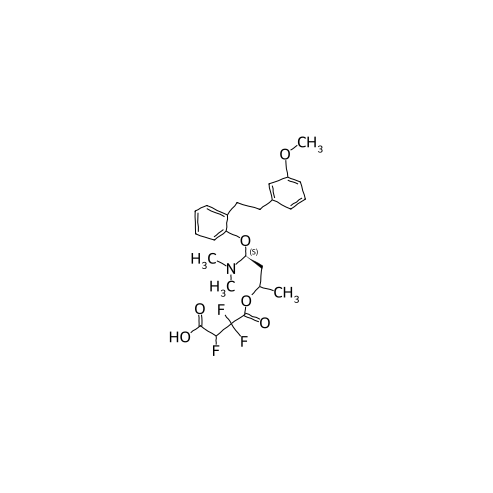 COc1cccc(CCc2ccccc2O[C@@H](CC(C)OC(=O)C(F)(F)C(F)C(=O)O)N(C)C)c1